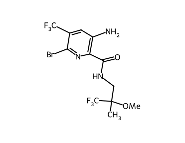 COC(C)(CNC(=O)c1nc(Br)c(C(F)(F)F)cc1N)C(F)(F)F